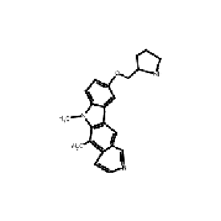 Cc1c2ccncc2cc2c3cc(OCC4CCCN4)ccc3n(C)c12